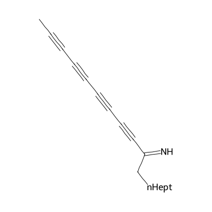 CC#CC#CC#CC#CC(=N)CCCCCCCC